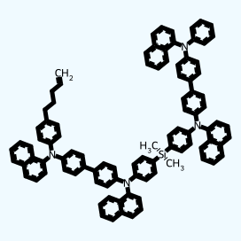 C=CCCCc1ccc(N(c2ccc(-c3ccc(N(c4ccc([Si](C)(C)c5ccc(N(c6ccc(-c7ccc(N(c8ccccc8)c8cccc9ccccc89)cc7)cc6)c6cccc7ccccc67)cc5)cc4)c4cccc5ccccc45)cc3)cc2)c2cccc3ccccc23)cc1